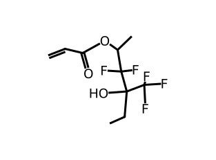 C=CC(=O)OC(C)C(F)(F)C(O)(CC)C(F)(F)F